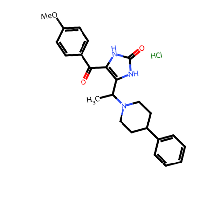 COc1ccc(C(=O)c2[nH]c(=O)[nH]c2C(C)N2CCC(c3ccccc3)CC2)cc1.Cl